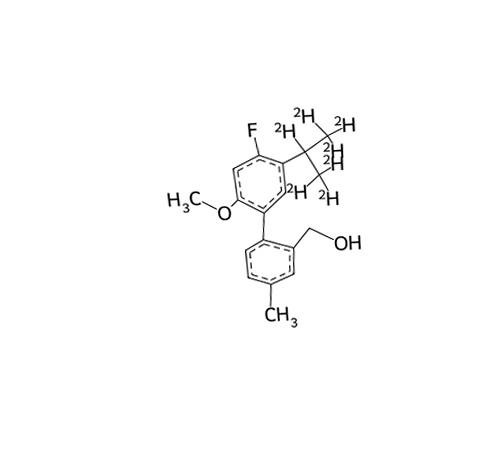 [2H]C([2H])([2H])C([2H])(c1cc(-c2ccc(C)cc2CO)c(OC)cc1F)C([2H])([2H])[2H]